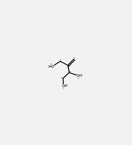 C=C(CO)C(O)CO